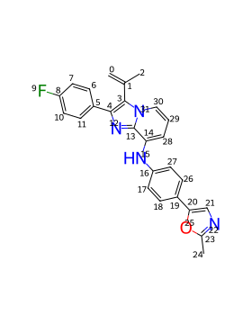 C=C(C)c1c(-c2ccc(F)cc2)nc2c(Nc3ccc(-c4cnc(C)o4)cc3)cccn12